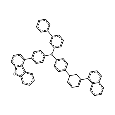 C1=CC(c2ccc(N(c3ccc(-c4cccc5oc6ccccc6c45)cc3)c3cccc(-c4ccccc4)c3)cc2)CC(c2cccc3ccccc23)=C1